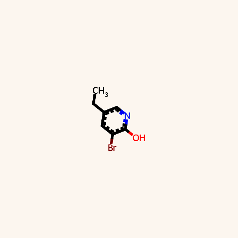 CCc1cnc(O)c(Br)c1